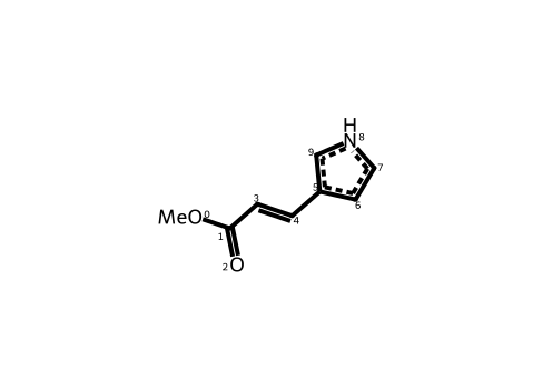 COC(=O)C=Cc1cc[nH]c1